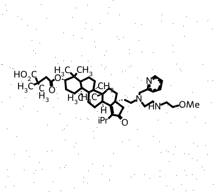 COCCNCCN(CC[C@@]12CC[C@]3(C)[C@H](CCC4[C@@]5(C)CC[C@H](OC(=O)CC(C)(C)C(=O)O)C(C)(C)C5CC[C@]43C)C1=C(C(C)C)C(=O)C2)Cc1ccccn1